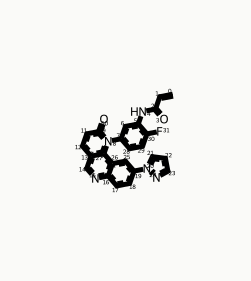 C=CC(=O)Nc1cc(-n2c(=O)ccc3cnc4ccc(-n5cccn5)cc4c32)ccc1F